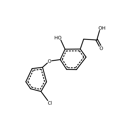 O=C(O)Cc1cccc(Oc2cccc(Cl)c2)c1O